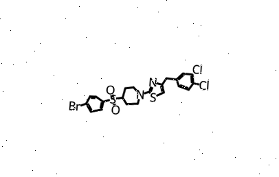 O=S(=O)(c1ccc(Br)cc1)C1CCN(c2nc(Cc3ccc(Cl)c(Cl)c3)cs2)CC1